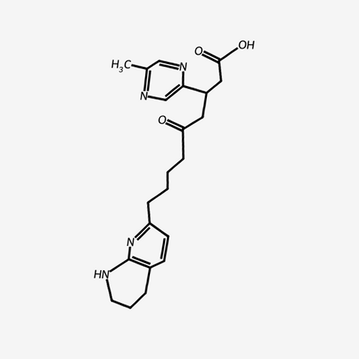 Cc1cnc(C(CC(=O)O)CC(=O)CCCCc2ccc3c(n2)NCCC3)cn1